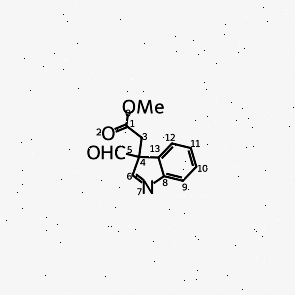 COC(=O)CC1(C=O)C=Nc2ccccc21